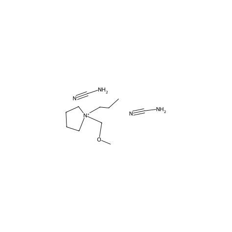 CCC[N+]1(COC)CCCC1.N#CN.N#CN